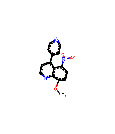 COc1ccc([N+](=O)[O-])c2c(-c3ccncc3)ccnc12